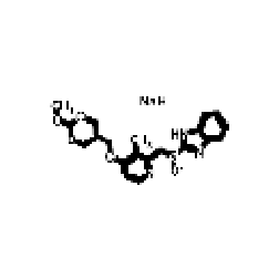 COC1OCC(COc2ccnc(C[S+]([O-])c3nc4ccccc4[nH]3)c2C)CO1.[NaH]